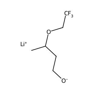 CC(CC[O-])OCC(F)(F)F.[Li+]